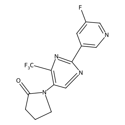 O=C1CCCN1c1cnc(-c2cncc(F)c2)nc1C(F)(F)F